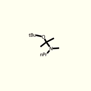 CCCN(C)C(C)(C)OC(C)(C)C